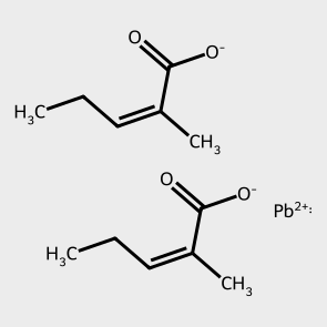 CCC=C(C)C(=O)[O-].CCC=C(C)C(=O)[O-].[Pb+2]